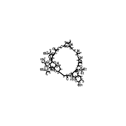 C=C1C(O[Si](CC)(CC)CC)C[C@@H]2OC3C[C@@H](C)[C@@H](CCC)O[C@H]3[C@H](C)[C@H]2OC(=O)CC2CC[C@@H]3O[C@H]([C@@H](O[Si](C)(C)C(C)(C)C)[C@@H](O[Si](C)(C)C(C)(C)C)[C@H]3O2)[C@@H](O[Si](C)(C)C(C)(C)C)/C=C/C(=O)CCC2CC(=C)[C@H](CC[C@@H](C)C[C@H]1C)O2